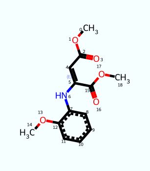 COC(=O)/C=C(/Nc1ccccc1OC)C(=O)OC